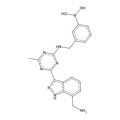 Cc1nc(NCc2cccc(B(O)O)c2)nc(-c2n[nH]c3c(CN)cccc23)n1